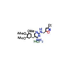 CCc1cc(CNc2ncc(Cc3cc(OC)c(OC)c(OC)c3)c(N)n2)on1.Cl